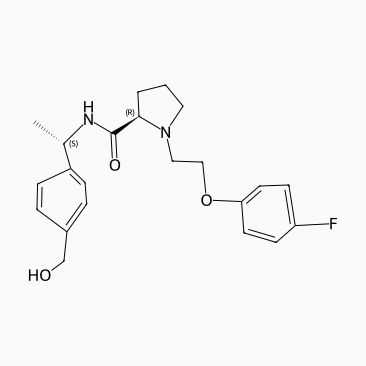 C[C@H](NC(=O)[C@H]1CCCN1CCOc1ccc(F)cc1)c1ccc(CO)cc1